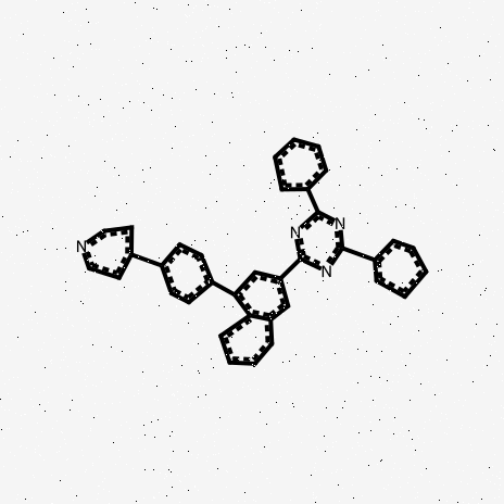 c1ccc(-c2nc(-c3ccccc3)nc(-c3cc(-c4ccc(-c5ccncc5)cc4)c4ccccc4c3)n2)cc1